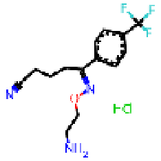 Cl.N#CCCCC(=NOCCN)c1ccc(C(F)(F)F)cc1